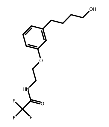 O=C(NCCOc1cccc(CCCCO)c1)C(F)(F)F